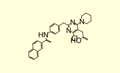 C=C(O)Cc1c(Cl)nc(Cc2ccc(NC(=C)c3ccc4ccccc4c3)cc2)nc1N1CCCCC1